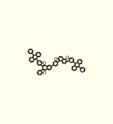 C1=CCCC(c2c3ccccc3c(C3=CC=C4Oc5c(ccc6c5ccc5oc7cc(-c8ccc9c(c8)c8oc%10cc(-c%11c%12ccccc%12c(-c%12ccccc%12)c%12ccccc%11%12)ccc%10c8c8c%10ccccc%10oc98)ccc7c56)C4C3)c3ccccc23)=C1